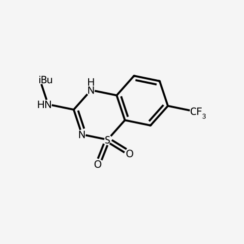 CCC(C)NC1=NS(=O)(=O)c2cc(C(F)(F)F)ccc2N1